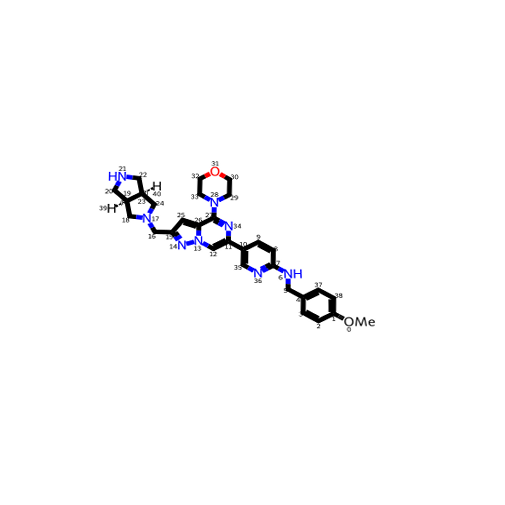 COc1ccc(CNc2ccc(-c3cn4nc(CN5C[C@H]6CNC[C@H]6C5)cc4c(N4CCOCC4)n3)cn2)cc1